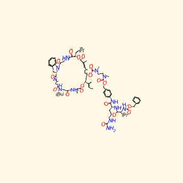 C/C=C(\C)[C@H]1OC(=O)[C@@H](C)NC(=O)[C@H](C(C)CC)NC(=O)CN(C)C(=O)[C@@H](Cc2ccccc2)N(C)C(=O)[C@H](C)NC(=O)[C@@H](CC(C)C)OC(=O)/C(C)=C/C[C@H](OC(=O)N(C)CCN(C)C(=O)OCc2ccc(NC(=O)[C@H](CCCNC(N)=O)NC(=O)[C@@H](NC(=O)OCc3ccccc3)C(C)C)cc2)[C@@H]1C